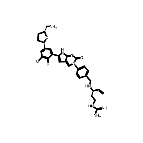 C=C[C@@H](CCNC(=N)N)NCc1ccc(-n2cc3cc(-c4cc([C@H]5CC[C@@H](CN)O5)cc(Cl)c4F)[nH]c3nc2=O)cc1